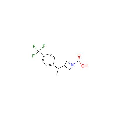 CC(c1ccc(C(F)(F)F)cc1)C1CN(C(=O)O)C1